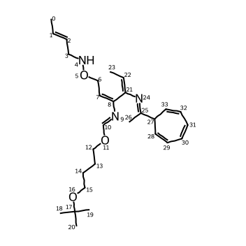 C/C=C/CNOC/C=C(/N=C/OCCCCOC(C)(C)C)C(=C/C)\N=C(/C)C1C=CC=CC=C1